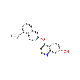 O=C(O)c1cccc2cc(Oc3ccnc4cc(O)ccc34)ccc12